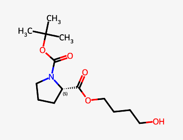 CC(C)(C)OC(=O)N1CCC[C@H]1C(=O)OCCCCO